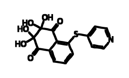 O=C1c2cccc(Sc3ccncc3)c2C(=O)C(O)(O)C1(O)O